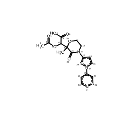 CC(=O)OC(C(=O)O)C1(C)OCCN(c2ccn(-c3ccnnc3)n2)C1=O